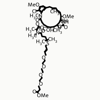 COC(=O)CCOCCOCCOCCOC/C=C/CSC(C)(C)CCC(=O)N(C)[C@@H](C)C(=O)O[C@H]1CC(=O)N(C)c2cc(cc(OC)c2Cl)C/C(C)=C/C=C/[C@@H](OC)[C@@]2(O)C[C@H](OC(=O)N2)[C@@H](C)[C@@H]2O[C@@]12C